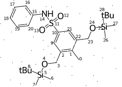 Cc1c(CO[Si](C)(C)C(C)(C)C)cc(S(=O)(=O)Nc2ccccc2)cc1CO[Si](C)(C)C(C)(C)C